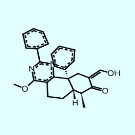 COc1nc(-c2ccccc2)nc2c1CC[C@H]1[C@H](C)C(=O)/C(=C\O)C[C@]21c1ccccc1